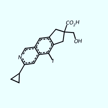 O=C(O)C1(CO)Cc2cc3cnc(C4CC4)cc3c(I)c2C1